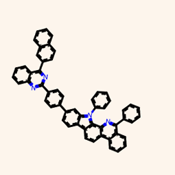 c1ccc(-c2nc3c(ccc4c5ccc(-c6ccc(-c7nc(-c8ccc9ccccc9c8)c8ccccc8n7)cc6)cc5n(-c5ccccc5)c43)c3ccccc23)cc1